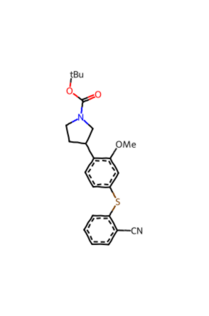 COc1cc(Sc2ccccc2C#N)ccc1C1CCN(C(=O)OC(C)(C)C)C1